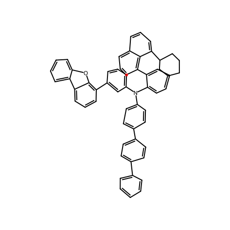 c1ccc(-c2ccc(-c3ccc(N(c4cccc(-c5cccc6c5oc5ccccc56)c4)c4ccccc4-c4cccc5cccc(C6CCCCC6)c45)cc3)cc2)cc1